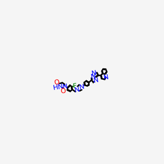 O=C1CCN(c2ccc(CN3CCN(c4ccc(-c5cnc6c(-c7ccnc8ccccc78)cnn6c5)cc4)CC3)c(F)c2)C(=O)N1